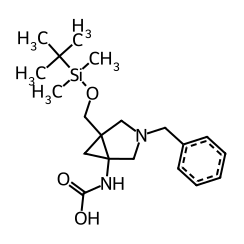 CC(C)(C)[Si](C)(C)OCC12CN(Cc3ccccc3)CC1(NC(=O)O)C2